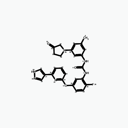 Cc1cc(NC(=O)Nc2cc(Oc3cccc(-c4cn[nH]c4)n3)ccc2F)cc(N2CCC(=O)C2)c1